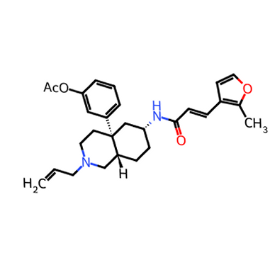 C=CCN1CC[C@@]2(c3cccc(OC(C)=O)c3)C[C@H](NC(=O)C=Cc3ccoc3C)CC[C@@H]2C1